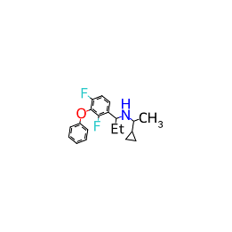 CCC(NC(C)C1CC1)c1ccc(F)c(Oc2ccccc2)c1F